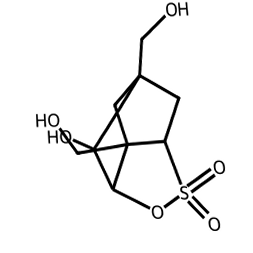 O=S1(=O)OC2C(O)C3(CO)CC1C2(CO)C3